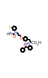 CCCC(=O)N(CCCOc1ccc(C[C@H](Nc2ccccc2C(=O)c2ccccc2)C(=O)O)cc1)c1cccc(F)c1